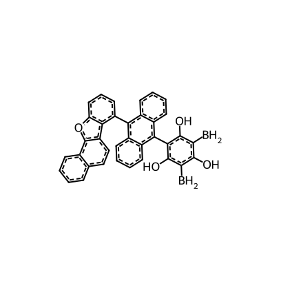 Bc1c(O)c(B)c(O)c(-c2c3ccccc3c(-c3cccc4oc5c6ccccc6ccc5c34)c3ccccc23)c1O